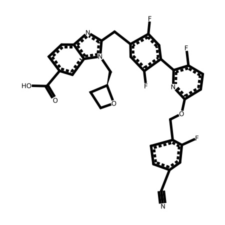 N#Cc1ccc(COc2ccc(F)c(-c3cc(F)c(Cc4nc5ccc(C(=O)O)cc5n4C[C@@H]4CCO4)cc3F)n2)c(F)c1